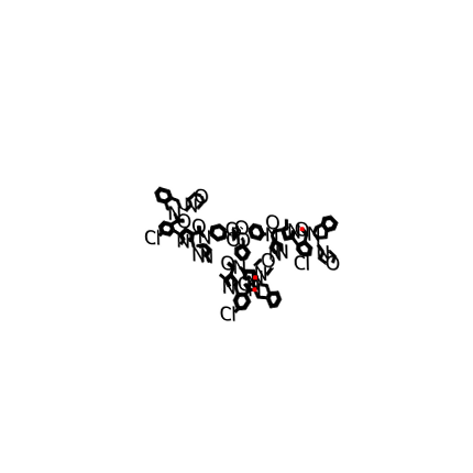 Cc1c(C(=O)N(c2ccc(OP(=O)(Oc3ccc(N(C(=O)c4cc(-c5cc(Cl)ccc5C(=O)N5Cc6ccccc6C[C@H]5CN5CCOCC5)n(C)c4C)c4cnn(C)c4)cc3)Oc3ccc(N(C(=O)c4cc(-c5cc(Cl)ccc5C(=O)N5Cc6ccccc6C[C@H]5CN5CCOCC5)n(C)c4C)c4cnn(C)c4)cc3)cc2)c2cnn(C)c2)cc(-c2cc(Cl)ccc2C(=O)N2Cc3ccccc3C[C@H]2CN2CCOCC2)n1C